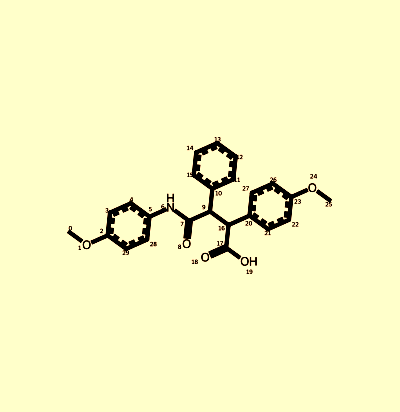 COc1ccc(NC(=O)C(c2ccccc2)C(C(=O)O)c2ccc(OC)cc2)cc1